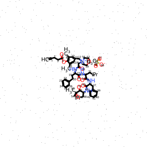 C#CCCC(=O)Oc1c(C)cc(C[N+]2(CC(=O)NC(CCc3ccccc3)C(=O)NC(CC(C)C)C(=O)NC(Cc3ccccc3)C(=O)NC(CC(C)C)C(=O)[C@@]3(C)CO3)CCOCC2)cc1C.CS(=O)(=O)[O-]